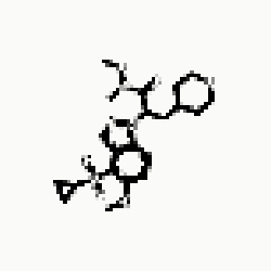 COc1ccc2c(cnn2C(CC2CCOCC2)C(=O)N(C)OC)c1S(=O)(=O)C1CC1